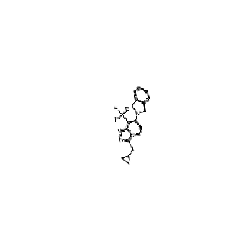 FC(F)(F)c1c(N2Cc3ccccc3C2)ccn2c(CC3CC3)nnc12